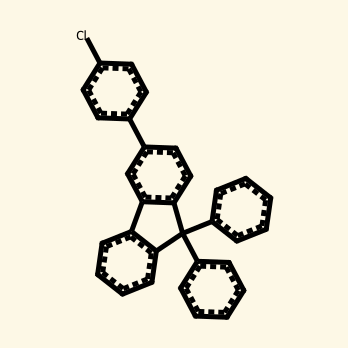 Clc1ccc(-c2ccc3c(c2)-c2ccccc2C3(c2ccccc2)c2ccccc2)cc1